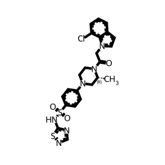 C[C@@H]1CN(c2ccc(S(=O)(=O)Nc3ncns3)cc2)CCN1C(=O)Cn1ccc2cccc(Cl)c21